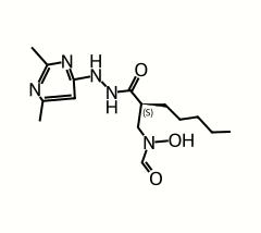 CCCCC[C@@H](CN(O)C=O)C(=O)NNc1cc(C)nc(C)n1